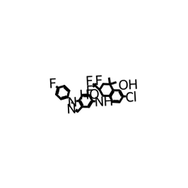 CC1(C)CC(O)(C(F)(F)F)C(Nc2ccc3c(cnn3-c3ccc(F)cc3)c2)c2ccc(Cl)c(O)c21